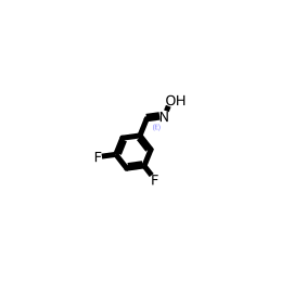 O/N=C/c1cc(F)cc(F)c1